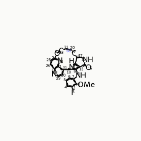 COc1c(F)cccc1Nc1c2[nH]c3c1C(=O)NCC3C/C=C\COc1ccc3nccc-2c3n1